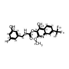 COc1nc2cc(C(F)(F)F)ccc2c(C)c1OC(=O)NCc1cc(O)cc(F)c1